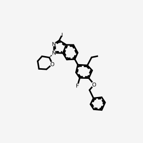 CCc1cc(OCc2ccccc2)c(F)cc1-c1ccc2c(I)nn([C@H]3CCCCO3)c2c1